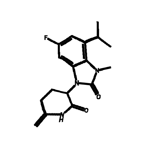 C=C1CCC(n2c(=O)n(C)c3c(C(C)C)cc(F)cc32)C(=O)N1